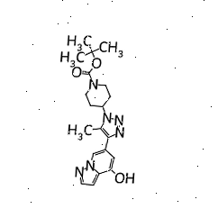 Cc1c(-c2cc(O)c3ccnn3c2)nnn1C1CCN(C(=O)OC(C)(C)C)CC1